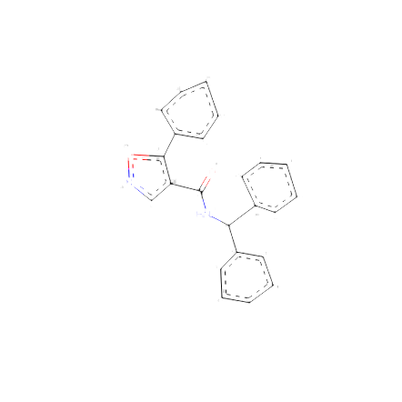 O=C(NC(c1ccccc1)c1ccccc1)c1cnoc1-c1ccccc1